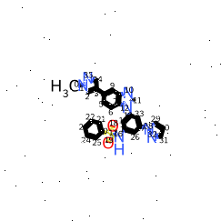 Cn1cc(-c2ccc3c(c2)ncn3-c2cc(NS(=O)(=O)c3ccccc3)cc(-n3cccn3)c2)cn1